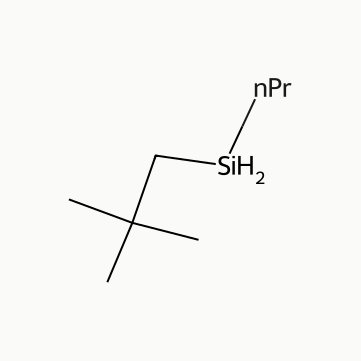 CCC[SiH2]CC(C)(C)C